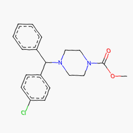 COC(=O)N1CCN(C(c2ccccc2)c2ccc(Cl)cc2)CC1